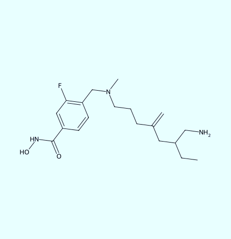 C=C(CCCN(C)Cc1ccc(C(=O)NO)cc1F)CC(CC)CN